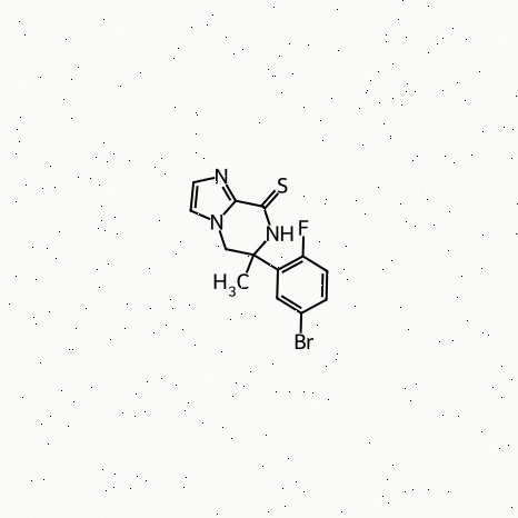 CC1(c2cc(Br)ccc2F)Cn2ccnc2C(=S)N1